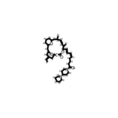 C/C=C1\CC2CC(=O)OC(/C=C/C=C\CCCC(=O)N3CCC(N4CCCCC4)CC3)C(C)/C=C/C(C)CC3CCCC(CC(C1)O2)O3